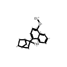 CCOc1ccc(C2(O)CC3CCC2C3)c2ccccc12